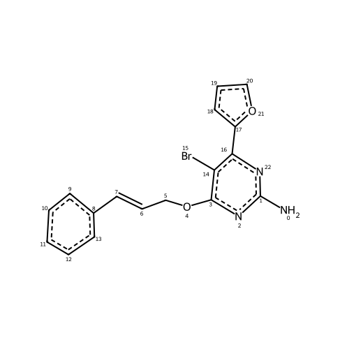 Nc1nc(OCC=Cc2ccccc2)c(Br)c(-c2ccco2)n1